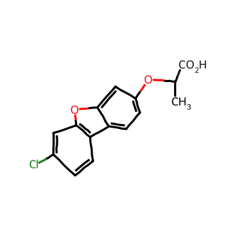 CC(Oc1ccc2c(c1)oc1cc(Cl)ccc12)C(=O)O